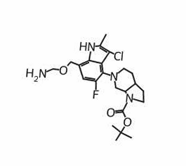 Cc1[nH]c2c(COCN)cc(F)c(N3CCC4CCN(C(=O)OC(C)(C)C)C4C3)c2c1Cl